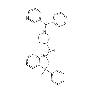 CC(CC(=O)NC1CCN(C(c2ccccc2)c2cccnc2)C1)(c1ccccc1)c1ccccc1